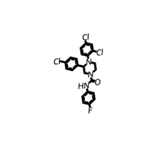 O=C(Nc1ccc(F)cc1)N1CCN(c2ccc(Cl)cc2Cl)C(c2ccc(Cl)cc2)C1